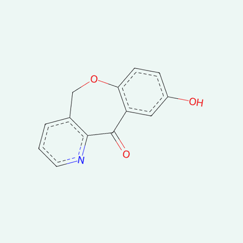 O=C1c2cc(O)ccc2OCc2cccnc21